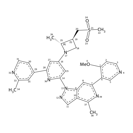 COc1ccncc1-c1cc2c(cnn2-c2cc(N3C[C@H](CS(C)(=O)=O)[C@H]3C)cc(-c3ccnc(C)c3)n2)c(C)n1